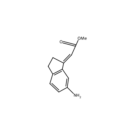 COC(=O)/C=C1\CCc2ccc(N)cc21